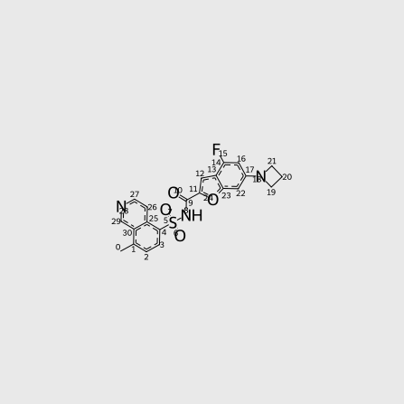 Cc1ccc(S(=O)(=O)NC(=O)c2cc3c(F)cc(N4CCC4)cc3o2)c2ccncc12